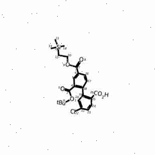 CC(C)(C)OC(=O)c1cc(C(=O)OCC[Si](C)(C)C)ccc1-c1cc(Cl)ccc1C(=O)O